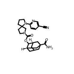 N#Cc1ccc(N2CCCC23CCN(C(=O)OC2[C@@H]4CC5C[C@H]2CC(C(N)=O)(C5)C4)C3)nc1